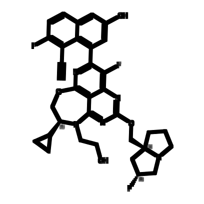 C#Cc1c(F)ccc2cc(O)cc(-c3nc4c5c(nc(OC[C@@]67CCCN6C[C@H](F)C7)nc5c3F)N(CCO)[C@@H](C3CC3)CO4)c12